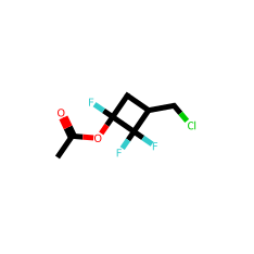 CC(=O)OC1(F)CC(CCl)C1(F)F